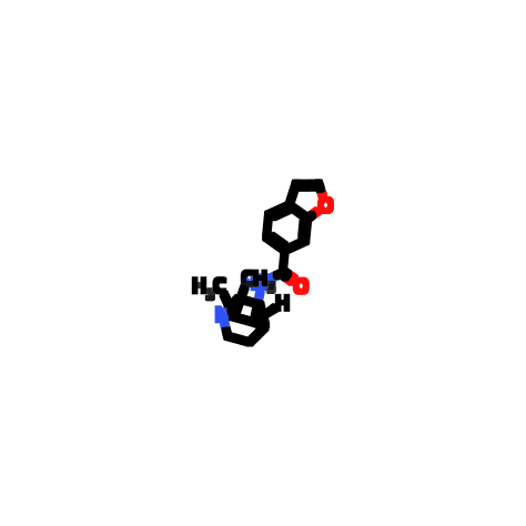 CC1(C)[C@H](NC(=O)c2ccc3ccoc3c2)C2CCN1CC2